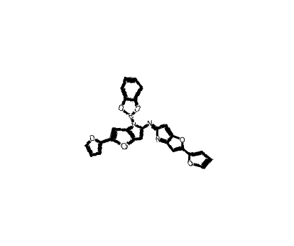 C1=c2oc(-c3ccco3)cc2=N/C1=N\c1cc2oc(-c3ccco3)cc2n1B1Oc2ccccc2O1